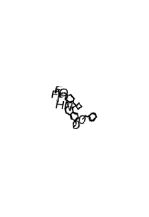 COc1cc2c(cc1OCc1ccccc1)C(C1(c3ccc(OC(F)(F)F)cc3)CCC1)NCC2